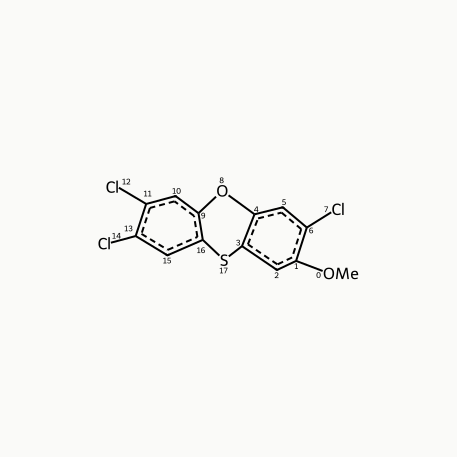 COc1cc2c(cc1Cl)Oc1cc(Cl)c(Cl)cc1S2